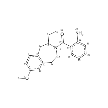 CCC1Cc2ccc(OC)cc2CCN1C(=O)c1ccccc1N